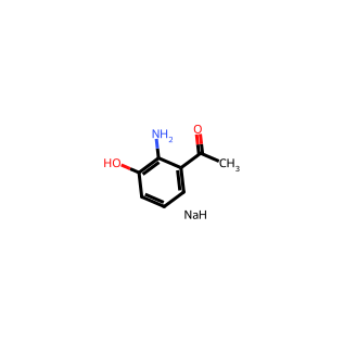 CC(=O)c1cccc(O)c1N.[NaH]